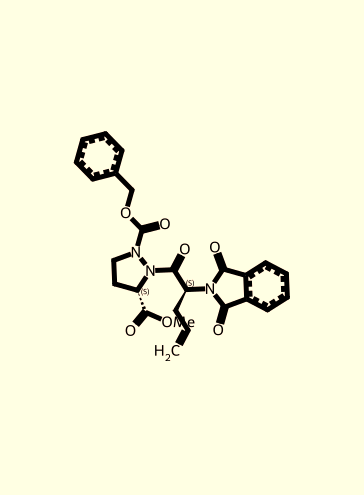 C=CC[C@@H](C(=O)N1[C@H](C(=O)OC)CCN1C(=O)OCc1ccccc1)N1C(=O)c2ccccc2C1=O